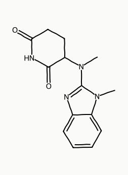 CN(c1nc2ccccc2n1C)C1CCC(=O)NC1=O